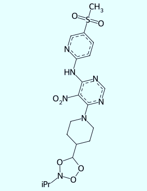 CC(C)N1OOC(C2CCN(c3ncnc(Nc4ccc(S(C)(=O)=O)cn4)c3[N+](=O)[O-])CC2)O1